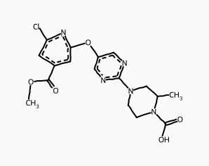 COC(=O)c1cc(Cl)nc(Oc2cnc(N3CCN(C(=O)O)C(C)C3)nc2)c1